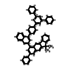 CC1(C)c2ccccc2-c2cc3c(-c4cc(-c5ccc(-c6nc(-c7ccccc7)nc(-c7ccccc7)n6)cc5)c5ccccc5c4)cc(-c4ccccc4)nc3cc21